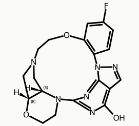 Oc1nc2nc3c1cnn3-c1ccc(F)cc1OCCN1C[C@H]3OCCN2[C@H]3C1